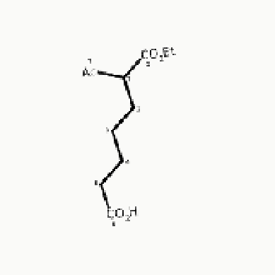 CCOC(=O)C(CCCCC(=O)O)C(C)=O